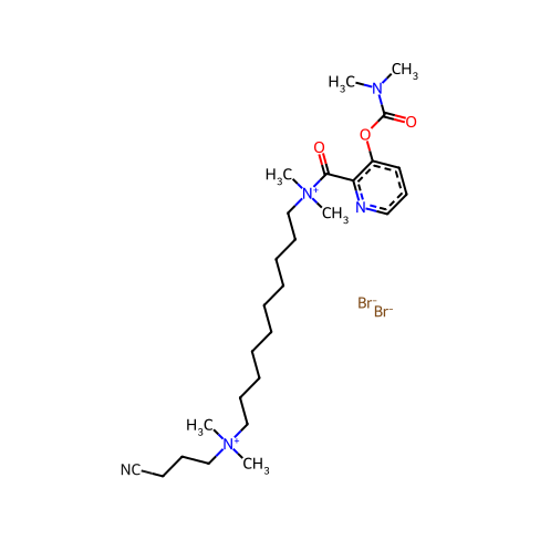 CN(C)C(=O)Oc1cccnc1C(=O)[N+](C)(C)CCCCCCCCCC[N+](C)(C)CCCC#N.[Br-].[Br-]